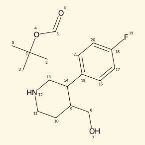 CC(C)(C)OC=O.OCC1CCNCC1c1ccc(F)cc1